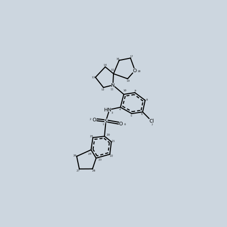 O=S(=O)(Nc1cc(Cl)ccc1N1CCCC12CCOC2)c1ccc2c(c1)CCC2